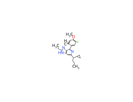 CCCC(c1cc2[nH]c(CC)nc2c(-c2cc(F)c(OC)cc2C)n1)C1CC1